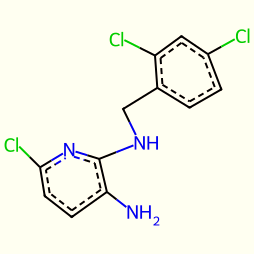 Nc1ccc(Cl)nc1NCc1ccc(Cl)cc1Cl